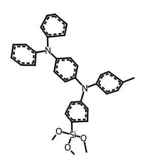 CO[Si](OC)(OC)c1ccc(N(c2ccc(C)cc2)c2ccc(N(c3ccccc3)c3ccccc3)cc2)cc1